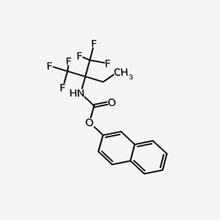 CCC(NC(=O)Oc1ccc2ccccc2c1)(C(F)(F)F)C(F)(F)F